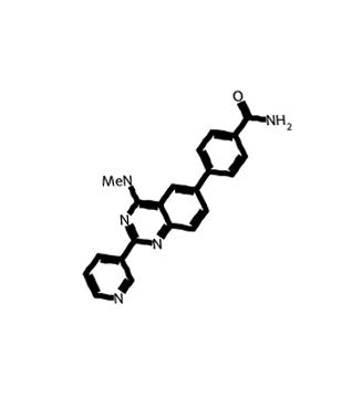 CNc1nc(-c2cccnc2)nc2ccc(-c3ccc(C(N)=O)cc3)cc12